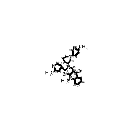 Cc1ccc(N2CCC[C@H](N(Cc3ccnc(C)c3)Cc3c(Br)n(C)c4ccccc4c3=O)C2)cn1